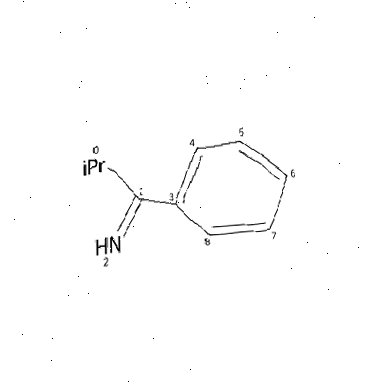 CC(C)C(=N)c1ccccc1